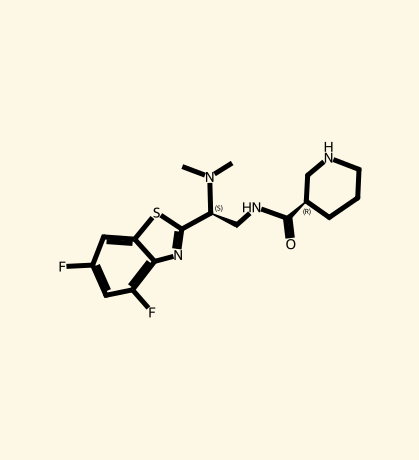 CN(C)[C@@H](CNC(=O)[C@@H]1CCCNC1)c1nc2c(F)cc(F)cc2s1